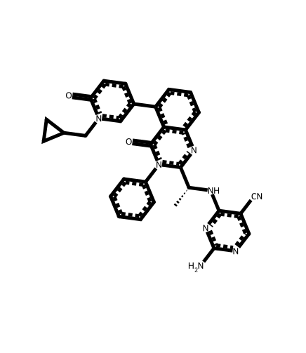 C[C@@H](Nc1nc(N)ncc1C#N)c1nc2cccc(-c3ccc(=O)n(CC4CC4)c3)c2c(=O)n1-c1ccccc1